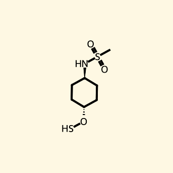 CS(=O)(=O)N[C@H]1CC[C@H](OS)CC1